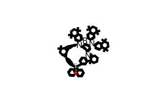 CC1(C)CCC(C)(C)c2cc(N3c4cc5c(cc4B4c6cc7c(cc6N6c8ccc9c(c8)C(C)(C)CCC9(C)c8ccc(cc8)[Si](c8ccccc8)(c8ccccc8)c8ccc9c(c8)C8(C)CCCCC8(C)N9c8cc3c4c6c8)C(C)(C)CCC7(C)C)C(C)(C)CCC5(C)C)ccc21